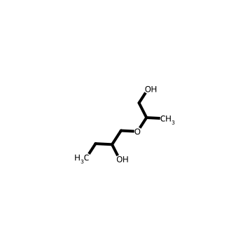 CCC(O)COC(C)CO